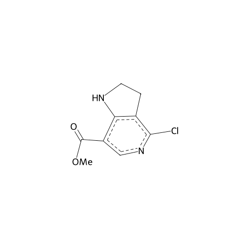 COC(=O)c1cnc(Cl)c2c1NCC2